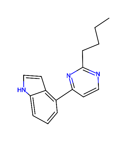 CCCCc1nccc(-c2cccc3[nH]ccc23)n1